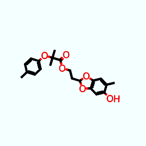 Cc1ccc(OC(C)(C)C(=O)OCCC2Oc3cc(C)c(O)cc3O2)cc1